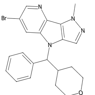 Cn1ncc2c1c1ncc(Br)cc1n2C(c1ccccc1)C1CCOCC1